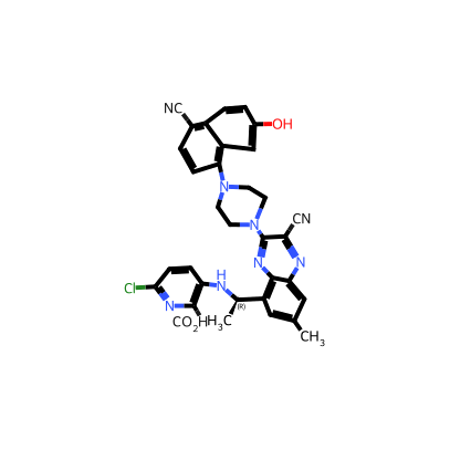 Cc1cc([C@@H](C)Nc2ccc(Cl)nc2C(=O)O)c2nc(N3CCN(c4ccc(C#N)c5ccc(O)cc45)CC3)c(C#N)nc2c1